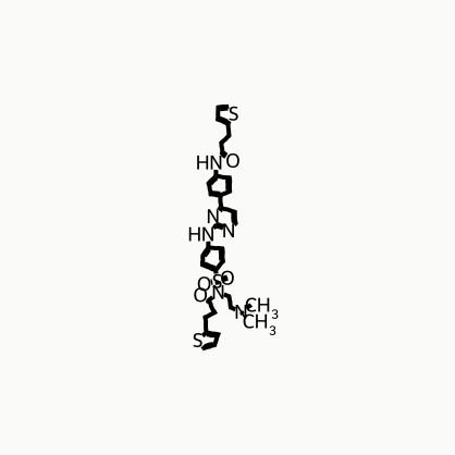 CN(C)CCN(C(=O)CCc1cccs1)S(=O)(=O)c1ccc(Nc2nccc(-c3ccc(NC(=O)CCc4cccs4)cc3)n2)cc1